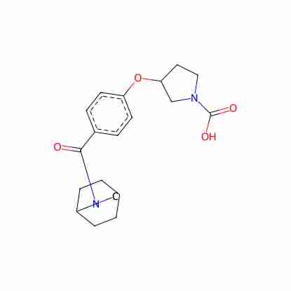 O=C(O)N1CCC(Oc2ccc(C(=O)N3CC4CCC(CC4)C3)cc2)C1